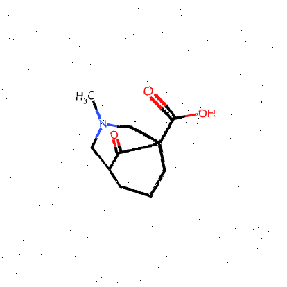 CN1CC2CCCC(C(=O)O)(C1)C2=O